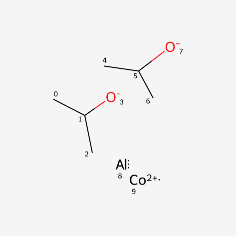 CC(C)[O-].CC(C)[O-].[Al].[Co+2]